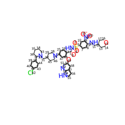 O=C(NS(=O)(=O)c1ccc(NCC2CCOCC2)c([N+](=O)[O-])c1)c1ccc(N2CCC(CN3CCCCC3c3ccc(Cl)cc3)CC2)cc1Oc1cnc2[nH]ccc2c1